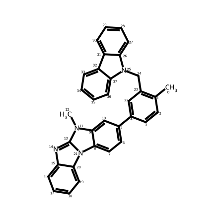 Cc1ccc(-c2ccc3c(c2)n(C)c2nc4ccccc4n32)cc1Cn1c2ccccc2c2ccccc21